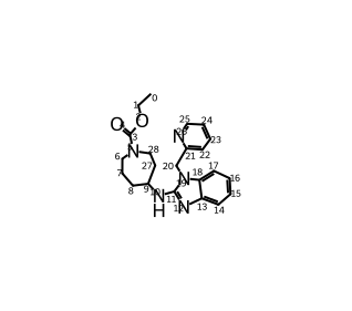 CCOC(=O)N1CCCC(Nc2nc3ccccc3n2Cc2ccccn2)CC1